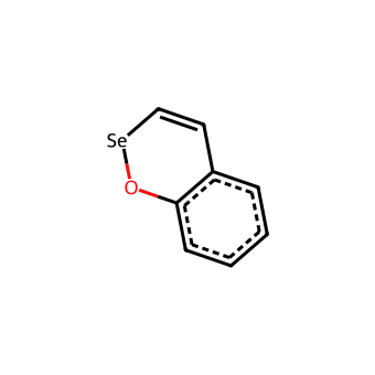 C1=Cc2ccccc2O[Se]1